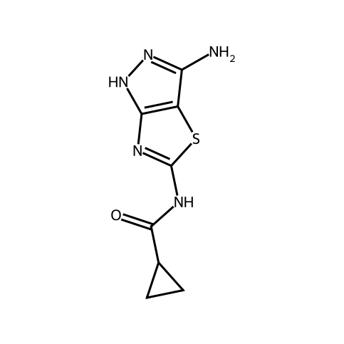 Nc1n[nH]c2nc(NC(=O)C3CC3)sc12